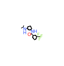 CC(C)Nc1cccc(NC(=O)c2cccc(C(F)(F)F)c2)c1